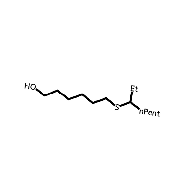 CCCCCC(CC)SCCCCCCO